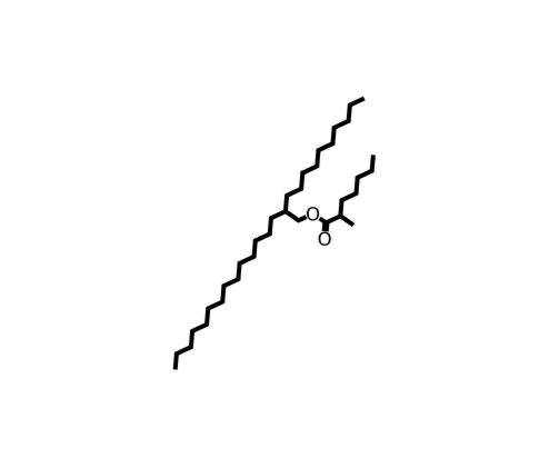 CCCCCCCCCCCCCCC(CCCCCCCCCC)COC(=O)C(C)CCCCC